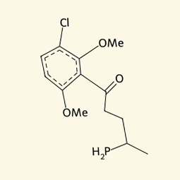 COc1ccc(Cl)c(OC)c1C(=O)CCC(C)P